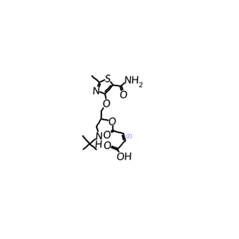 Cc1nc(OCC(CNC(C)(C)C)OC(=O)/C=C\C(=O)O)c(C(N)=O)s1